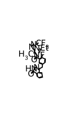 CCC1CN(C(=O)c2cc(Cc3n[nH]c(=O)c4ccccc34)ccc2F)C(C)c2nnc(C(F)(F)F)n21